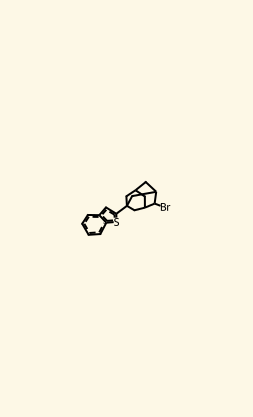 BrC1C2CC3CC1CC(c1cc4ccccc4s1)(C3)C2